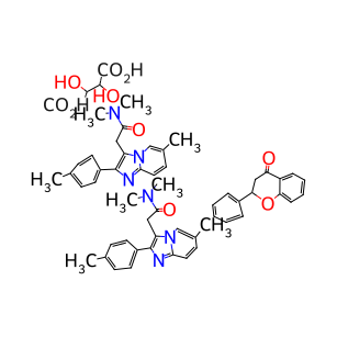 Cc1ccc(-c2nc3ccc(C)cn3c2CC(=O)N(C)C)cc1.Cc1ccc(-c2nc3ccc(C)cn3c2CC(=O)N(C)C)cc1.O=C(O)C(O)C(O)C(=O)O.O=C1CC(c2ccccc2)Oc2ccccc21